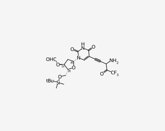 CC(C)(C)[Si](C)(C)OC[C@H]1O[C@@H](n2cc(C#CC(N)C(=O)C(F)(F)F)c(=O)[nH]c2=O)C[C@@H]1OC=O